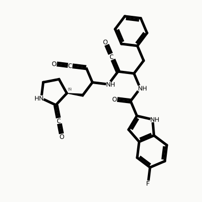 O=C=CC(C[C@@H]1CCNC1=C=O)NC(=C=O)C(Cc1ccccc1)NC(=O)c1cc2cc(F)ccc2[nH]1